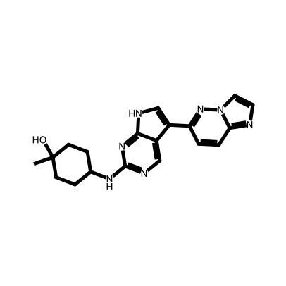 CC1(O)CCC(Nc2ncc3c(-c4ccc5nccn5n4)c[nH]c3n2)CC1